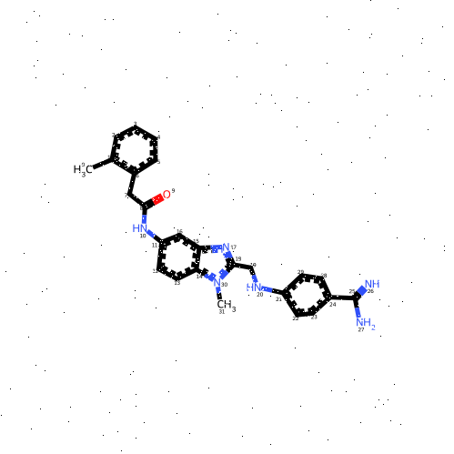 Cc1ccccc1CC(=O)Nc1ccc2c(c1)nc(CNc1ccc(C(=N)N)cc1)n2C